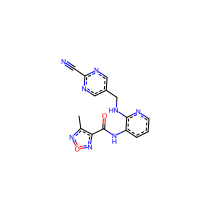 Cc1nonc1C(=O)Nc1cccnc1NCc1cnc(C#N)nc1